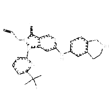 C=CCn1c(=O)c2cnc(Nc3ccc4c(c3)CCNC4)cc2n1-c1cccc(C(C)(C)F)n1